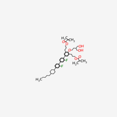 C=C(C)C(=O)OCCCc1cc(-c2ccc(-c3ccc(C4CCC(CCCCC)CC4)cc3F)cc2F)cc(CCCOC(=O)C(=C)C)c1OCCC(CO)CO